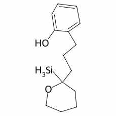 Oc1ccccc1CCCC1([SiH3])CCCCO1